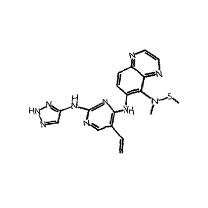 C=Cc1cnc(Nc2cn[nH]n2)nc1Nc1ccc2nccnc2c1N(C)SC